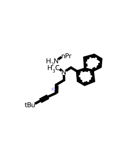 CCCN.CN(C/C=C/C#CC(C)(C)C)Cc1cccc2ccccc12